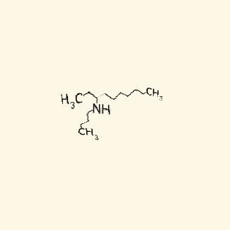 CCCCCCC[C@@H](CC)NCCCC